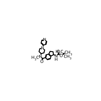 CN(C(=O)c1ccc2c(c1)CCC2NC(=O)OC(C)(C)C)C1CCN(c2ccncc2)CC1